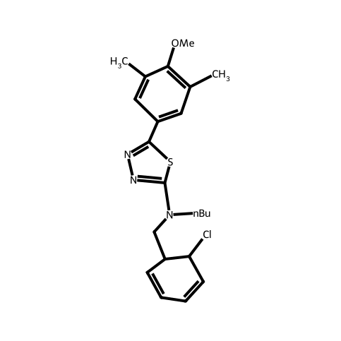 CCCCN(CC1C=CC=CC1Cl)c1nnc(-c2cc(C)c(OC)c(C)c2)s1